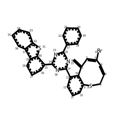 C=C1/C=C(Br)\C=C/CSc2cccc(-c3nc(-c4ccccc4)nc(-c4cccc5c4sc4ccccc45)n3)c21